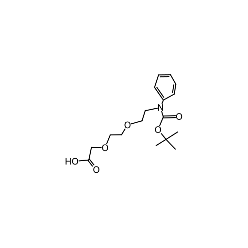 CC(C)(C)OC(=O)N(CCOCCOCC(=O)O)c1ccccc1